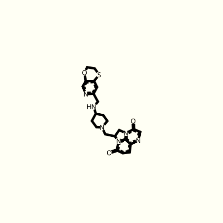 O=c1cnc2ccc(=O)n3c2n1CC3CN1CCC(NCc2cc3c(cn2)OCCS3)CC1